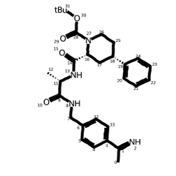 CC(=N)c1ccc(CNC(=O)[C@H](C)NC(=O)[C@H]2C[C@@H](c3ccccc3)CCN2C(=O)OC(C)(C)C)cc1